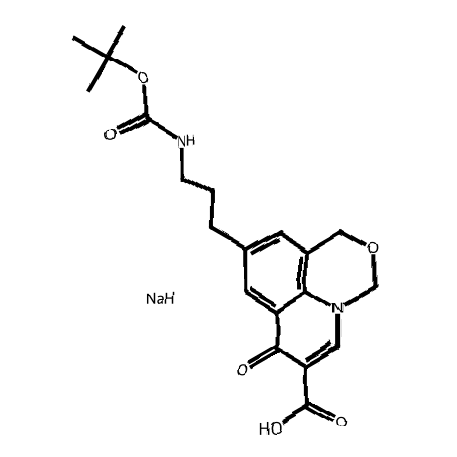 CC(C)(C)OC(=O)NCCCc1cc2c3c(c1)c(=O)c(C(=O)O)cn3COC2.[NaH]